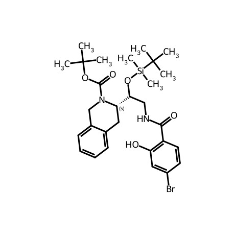 CC(C)(C)OC(=O)N1Cc2ccccc2C[C@H]1C(CNC(=O)c1ccc(Br)cc1O)O[Si](C)(C)C(C)(C)C